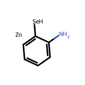 Nc1ccccc1[SeH].[Zn]